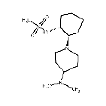 CN(C)C1CCN([C@@H]2CCCC[C@H]2NS(C)(=O)=O)CC1